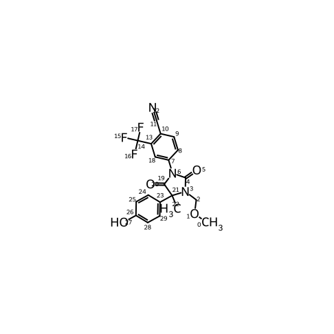 COCN1C(=O)N(c2ccc(C#N)c(C(F)(F)F)c2)C(=O)C1(C)c1ccc(O)cc1